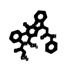 C=CC(=O)Nc1ccccc1-c1c(CC)nc2n(CC(=O)Nc3ccccc3)c3ccccc3n2c1=O